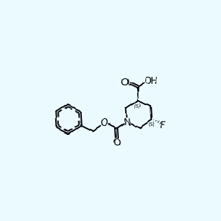 O=C(O)[C@H]1C[C@H](F)CN(C(=O)OCc2ccccc2)C1